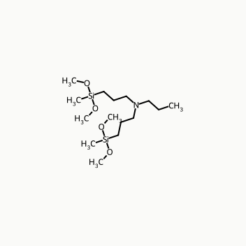 CCCN(CCC[Si](C)(OC)OC)CCC[Si](C)(OC)OC